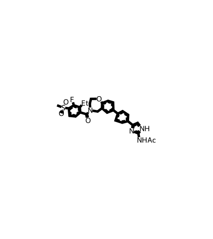 CCc1c(C(=O)N2CCOc3ccc(-c4ccc(-c5c[nH]c(NC(C)=O)n5)cc4)cc3C2)ccc(S(C)(=O)=O)c1F